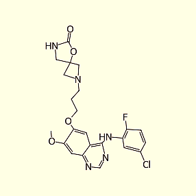 COc1cc2ncnc(Nc3cc(Cl)ccc3F)c2cc1OCCCN1CC2(CNC(=O)O2)C1